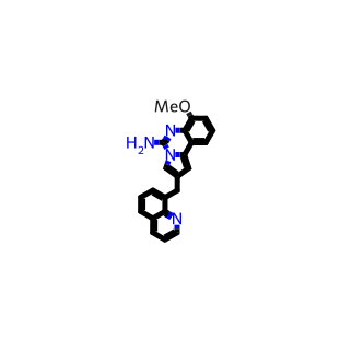 COc1cccc2c1nc(N)n1cc(Cc3cccc4cccnc34)cc21